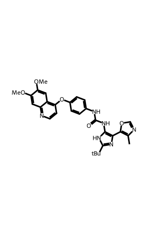 COc1cc2nccc(Oc3ccc(NC(=O)Nc4[nH]c(C(C)(C)C)nc4-c4ocnc4C)cc3)c2cc1OC